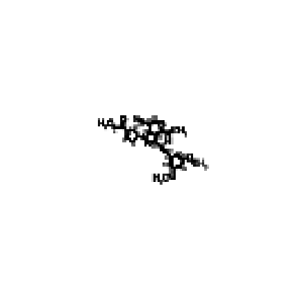 C=CC(=O)N1CC[C@H](n2nc(C#Cc3cc(OC)cc(OC)c3)c3c(NC)ncc(C#N)c32)C1